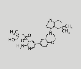 C[C@H](CO)CS(=O)(=O)c1cc(-c2ccc3c(c2)CN(c2ncnc4c2CC(C)(C)CC4)CCO3)cnc1N